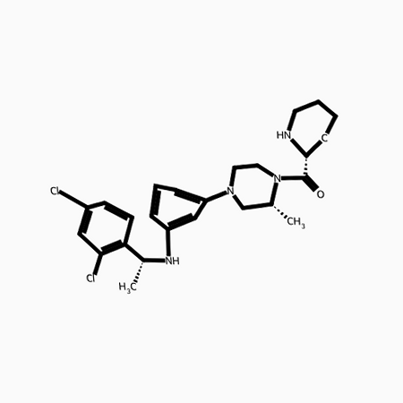 C[C@@H]1CN(c2cccc(N[C@H](C)c3ccc(Cl)cc3Cl)c2)CCN1C(=O)[C@H]1CCCCN1